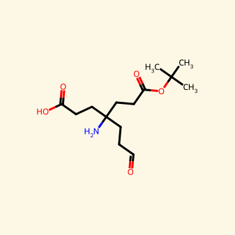 CC(C)(C)OC(=O)CCC(N)(CCC=O)CCC(=O)O